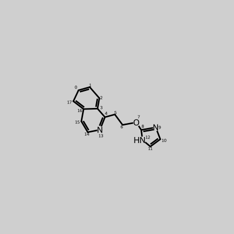 c1ccc2c(CCOc3ncc[nH]3)nccc2c1